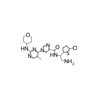 Cc1cnc(NC2CCOCC2)nc1-n1cnc(C(=O)NC(CN)c2ccc(Cl)s2)c1